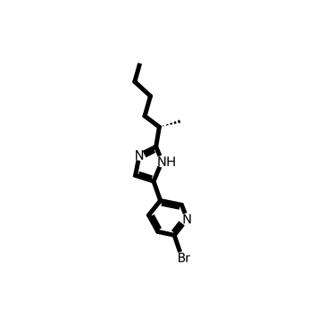 CCCC[C@H](C)c1ncc(-c2ccc(Br)nc2)[nH]1